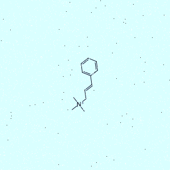 C[N+](C)(C)CC=Cc1ccccc1